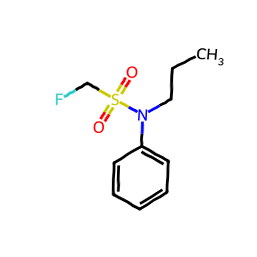 CCCN(c1ccccc1)S(=O)(=O)CF